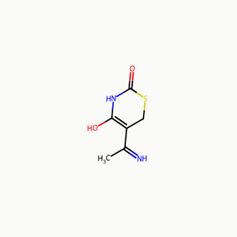 CC(=N)C1=C(O)NC(=O)SC1